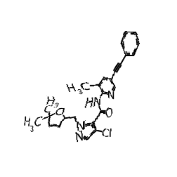 Cc1cc(C#Cc2ccccc2)cnc1NC(=O)c1c(Cl)cnn1CC1CCC(C)(C)O1